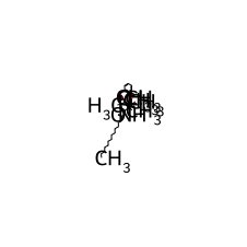 CCCCCCCCCCCCCC(=O)NC1CC(C)(CC)N(OC(C)c2ccccc2)C(C)(CC)C1C